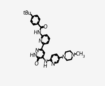 CN1CCN(c2ccc(Nc3cc(-c4cccc(NC(=O)c5ccc(C(C)(C)C)cc5)n4)n[nH]c3=O)nc2)CC1